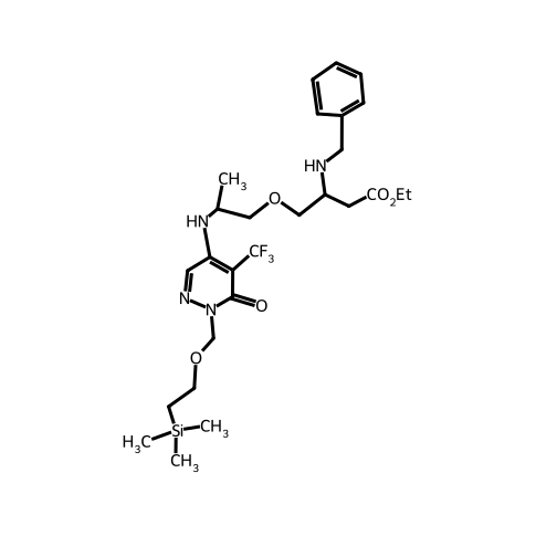 CCOC(=O)CC(COCC(C)Nc1cnn(COCC[Si](C)(C)C)c(=O)c1C(F)(F)F)NCc1ccccc1